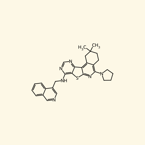 CC1(C)CCc2c(N3CCCC3)nc3sc4c(NCc5cncc6ccccc56)ncnc4c3c2C1